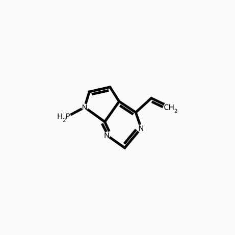 C=Cc1ncnc2c1ccn2P